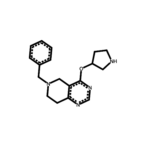 c1ccc(CN2CCc3ncnc(OC4CCNC4)c3C2)cc1